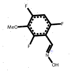 COc1c(F)cc(F)c(/C=N/O)c1F